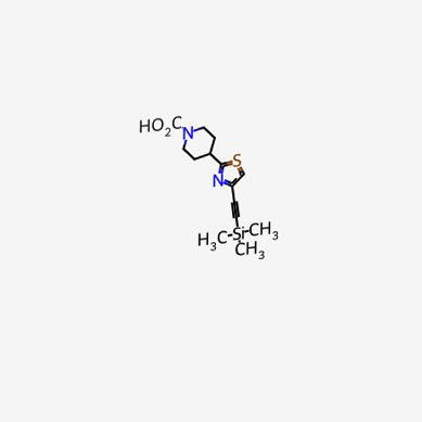 C[Si](C)(C)C#Cc1csc(C2CCN(C(=O)O)CC2)n1